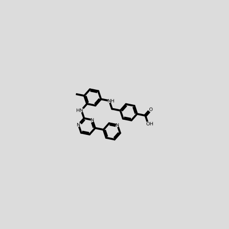 Cc1ccc(NCc2ccc(C(=O)O)cc2)cc1Nc1nccc(-c2cccnc2)n1